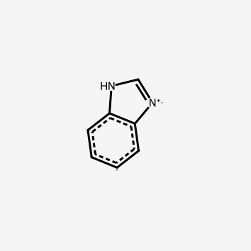 [c]1ccc2c(c1)[N+]=CN2